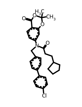 CC1(C)OC(=O)c2ccc(N(Cc3ccc(-c4ccc(Cl)cc4)cc3)C(=O)CCC3CCCC3)cc2O1